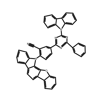 N#Cc1cc(-c2nc(-c3ccccc3)nc(-n3c4ccccc4c4ccccc43)n2)ccc1-n1c2ccccc2c2ccc3c4ccccc4oc3c21